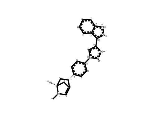 CN1C=C2C[C@@H]1C[C@@H]2c1ccc(-n2cc(-c3n[nH]c4ccccc34)nn2)cc1